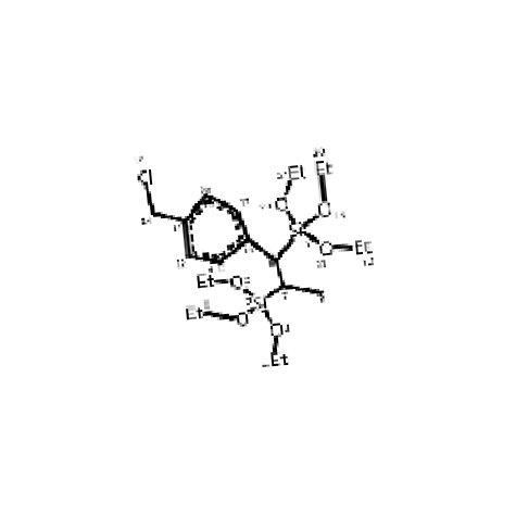 CCO[Si](OCC)(OCC)C(C)C(c1ccc(CCl)cc1)[Si](OCC)(OCC)OCC